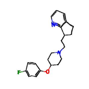 Fc1ccc(OC2CCN(CCC3CCc4cccnc43)CC2)cc1